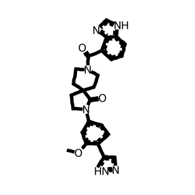 COc1cc(N2CCC3(CCN(C(=O)c4cccc5[nH]cnc45)CC3)C2=O)ccc1-c1cn[nH]c1